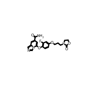 NC(=O)c1cc(Oc2ccc(OCCCN3CCOC3=O)cc2F)n2cncc2c1